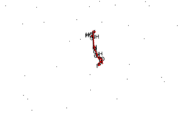 Cc1cc(C(=O)N2CCC(COC(=O)NCCOCCn3cc(CCCCCCCCC(=O)N[C@@H](CO)C[C@H](O)c4ccccc4)nn3)CC2)c(C)n1-c1ccc(F)cc1